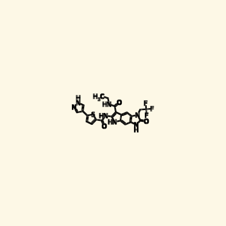 CCNC(=O)c1c(NC(=O)c2ccc(-c3cn[nH]c3)s2)[nH]c2cc3[nH]c(=O)n(CC(F)(F)F)c3cc12